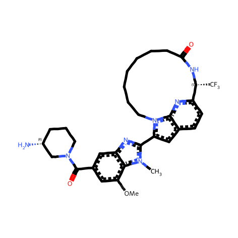 COc1cc(C(=O)N2CCC[C@@H](N)C2)cc2nc(-c3cc4ccc5nc4n3CCCCCCCC(=O)N[C@@H]5C(F)(F)F)n(C)c12